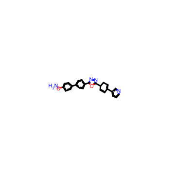 NOc1ccc(-c2ccc(-c3nnc(C4C=CC(c5cccnc5)=CC4)o3)cc2)cc1